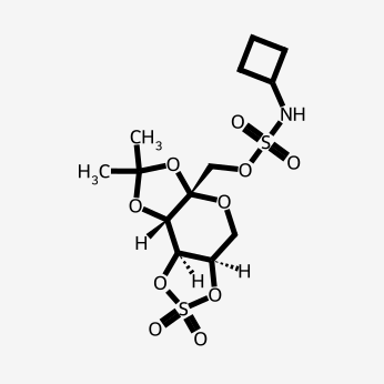 CC1(C)O[C@H]2[C@@H]3OS(=O)(=O)O[C@@H]3CO[C@@]2(COS(=O)(=O)NC2CCC2)O1